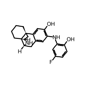 Oc1ccc(F)cc1Nc1cc2c(cc1O)[C@@]13CCCC[C@H]1[C@@H](C2)NCC3